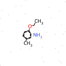 CCOc1ccc(C)cc1.N